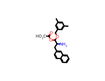 Cc1cc(C)cc(COC(OC(=O)C(=O)O)C(N)Cc2ccc3ccccc3c2)c1